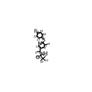 Cc1cc(C(C)N[S+]([O-])C(C)(C)C)cnc1Sc1ccc(F)cc1